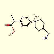 CCCOC(=O)C(C)c1ccc(C2(C=O)CCC(CN)CC2)cc1